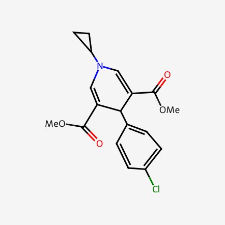 COC(=O)C1=CN(C2CC2)C=C(C(=O)OC)C1c1ccc(Cl)cc1